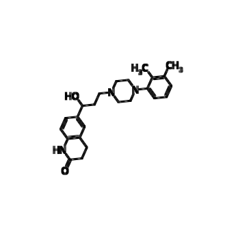 Cc1cccc(N2CCN(CCC(O)c3ccc4c(c3)CCC(=O)N4)CC2)c1C